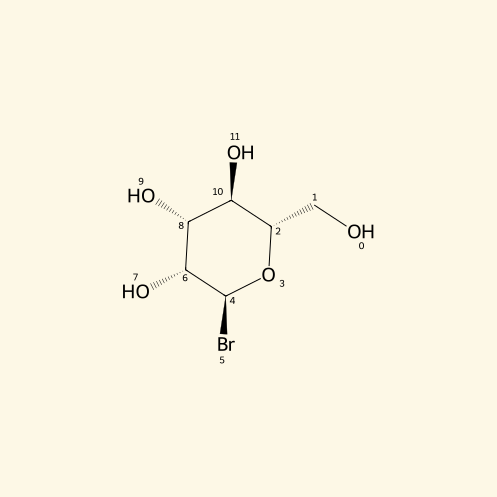 OC[C@@H]1O[C@@H](Br)[C@H](O)[C@H](O)[C@H]1O